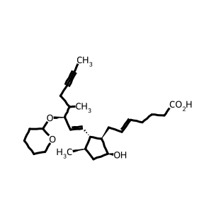 CC#CCC(C)[C@@H](C=C[C@@H]1[C@@H](CC=CCCCC(=O)O)[C@@H](O)C[C@H]1C)OC1CCCCO1